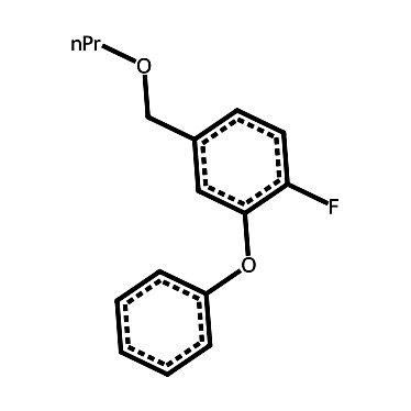 CCCOCc1ccc(F)c(Oc2ccccc2)c1